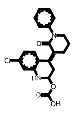 O=C(O)OC1CC(=C2CCCN(c3ccccc3)C2=O)c2ccc(Cl)cc2N1